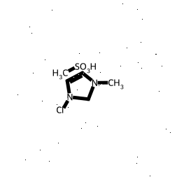 CN1C=CN(Cl)C1.CS(=O)(=O)O